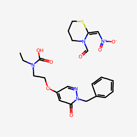 CCN(CCOc1cnn(Cc2ccccc2)c(=O)c1)C(=O)O.O=CN1CCCSC1=C[N+](=O)[O-]